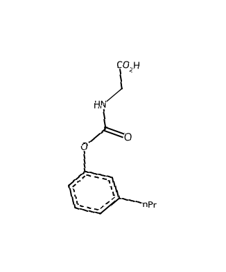 CCCc1cccc(OC(=O)NCC(=O)O)c1